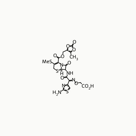 CSC1=C(C(=O)OCc2oc(=O)oc2C)N2C(=O)C(NC(=O)C(=NOCC(=O)O)c3csc(N)n3)[C@@H]2SC1